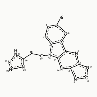 Brc1ccc2c(c1)c1nc3nonc3nc1n2CCc1nnn[nH]1